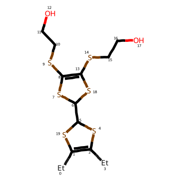 CCC1=C(CC)SC(C2SC(SCCO)=C(SCCO)S2)S1